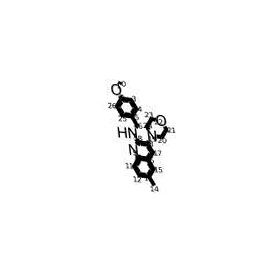 COc1ccc(CNc2nc3ccc(C)cc3cc2N2CCOCC2)cc1